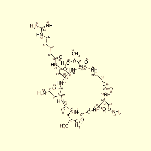 CC(C)C[C@@H]1NC(=O)CNC(=O)[C@H](CCN)NC(=O)CCCNC(=O)[C@H](CC(C)C)NC(=O)[C@H](CCNC(=O)CCCCNC(=N)N)NC(=O)[C@H](CCN)NC1=O